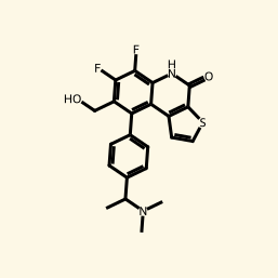 CC(c1ccc(-c2c(CO)c(F)c(F)c3[nH]c(=O)c4sccc4c23)cc1)N(C)C